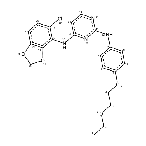 CCOCCOc1ccc(Nc2nccc(Nc3c(Cl)ccc4c3OCO4)n2)cc1